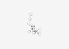 c1ccc(-c2ccc(-c3cccc(-c4cc(-n5c6ccccc6c6ccc7c(nc8c9ccccc9c9ccccc9n78)c65)ncn4)c3)cc2)cc1